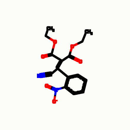 CCOC(=O)C(C(=O)OCC)=C(C#N)c1ccccc1[N+](=O)[O-]